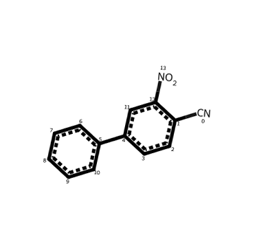 N#Cc1ccc(-c2ccccc2)cc1[N+](=O)[O-]